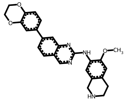 COc1cc2c(cc1Nc1ncc3ccc(-c4ccc5c(c4)OCCO5)cc3n1)CNCC2